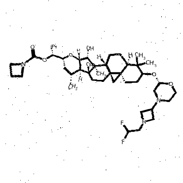 CC(C)[C@@H](OC(=O)N1CCC1)[C@H]1C[C@@H](C)[C@H]2[C@H](O1)[C@H](O)[C@@]1(C)[C@@H]3CC[C@H]4C(C)(C)C(O[C@H]5CN(C6CN(CC(F)F)C6)CCO5)CC[C@@]45C[C@@]35CC[C@]21C